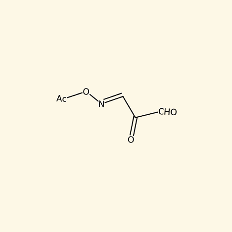 CC(=O)ON=CC(=O)C=O